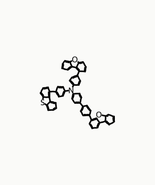 c1ccc2c(c1)oc1c(-c3ccc(-c4ccc(N(c5ccc(-c6cccc7oc8ccccc8c67)cc5)c5ccc(-c6cccc7sc8ccccc8c67)cc5)cc4)cc3)cccc12